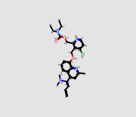 C=C/C=C(/c1cc(C)nc2c(OCc3c(Cl)ccnc3COC(=O)N(CC)CC)cccc12)N(C)C